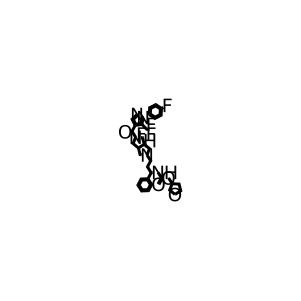 O=C(NC(CCN1CC2CN(C(=O)c3cnn(-c4ccc(F)cc4)c3C(F)(F)F)C[C@@H]2C1)c1ccccc1)OC1CCOC1